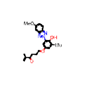 C=C(C)C(=O)CCCOc1cc(-n2nc3ccc(OC)cc3n2)c(O)c(C(C)(C)C)c1